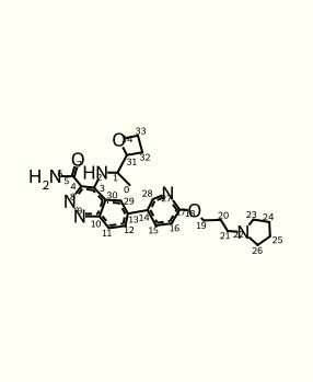 CC(Nc1c(C(N)=O)nnc2ccc(-c3ccc(OCCCN4CCCC4)nc3)cc12)C1CCO1